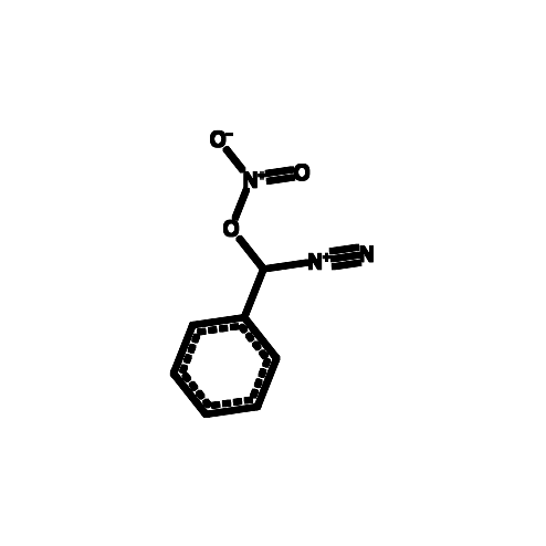 N#[N+]C(O[N+](=O)[O-])c1ccccc1